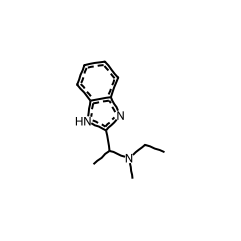 CCN(C)C(C)c1nc2ccccc2[nH]1